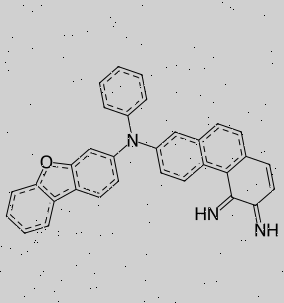 N=C1C=Cc2ccc3cc(N(c4ccccc4)c4ccc5c(c4)oc4ccccc45)ccc3c2C1=N